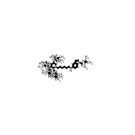 CC(C)(C)OC(=O)n1ccc2cc(NCCCCCCN3CC(O[Si](C)(C)C(C)(C)C)C(O[Si](C)(C)C(C)(C)C)C(O[Si](C)(C)C(C)(C)C)[C@H]3CO[Si](C)(C)C(C)(C)C)ccc21